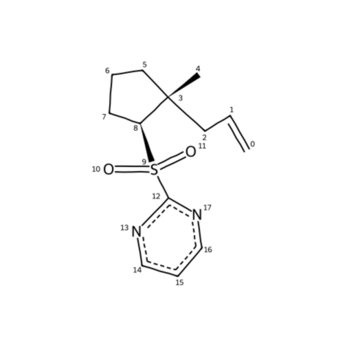 C=CC[C@@]1(C)CCC[C@@H]1S(=O)(=O)c1ncccn1